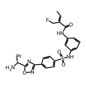 C/C=C(\CF)C(=O)Nc1cccc(NS(=O)(=O)c2ccc(-c3noc([C@@H](N)C(C)C)n3)cc2)c1